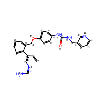 C=C/C(=C\N=C/N)c1ccccc1COc1ccc(NC(=O)NCc2cccnc2)cc1